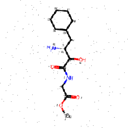 CC(C)(C)OC(=O)CNC(=O)C(O)[C@H](N)CC1CCCCC1